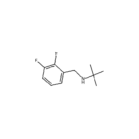 CC(C)(C)NCc1cccc(F)c1F